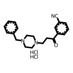 Cl.Cl.N#Cc1cccc(C(=O)CCN2CCN(Cc3ccccc3)CC2)c1